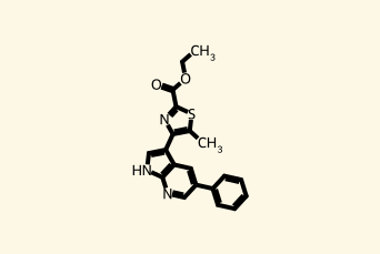 CCOC(=O)c1nc(-c2c[nH]c3ncc(-c4ccccc4)cc23)c(C)s1